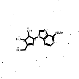 CNc1nccc2c1ncn2C1C=C(CO)C(O)C1O